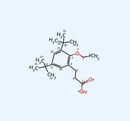 CCOc1c(CCC(=O)O)cc(C(C)(C)C)cc1C(C)(C)C